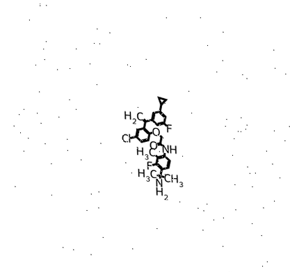 C=C(c1cc(F)cc(C2CC2)c1)c1cc(Cl)ccc1OCC(=O)Nc1ccc(C(C)(C)N)c(F)c1C